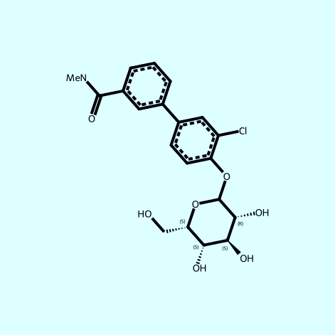 CNC(=O)c1cccc(-c2ccc(OC3O[C@@H](CO)[C@@H](O)[C@H](O)[C@H]3O)c(Cl)c2)c1